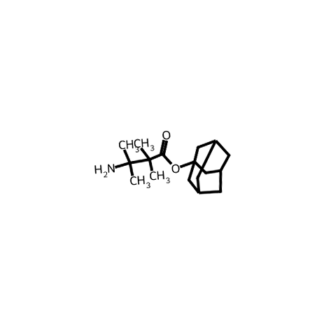 CC(C)(N)C(C)(C)C(=O)OC12CC3CC(CC(C3)C1)C2